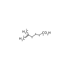 C=C(C)CCCC(=O)O